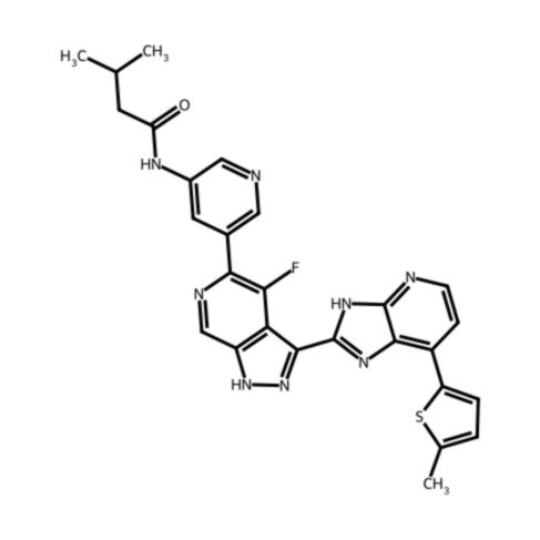 Cc1ccc(-c2ccnc3[nH]c(-c4n[nH]c5cnc(-c6cncc(NC(=O)CC(C)C)c6)c(F)c45)nc23)s1